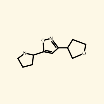 c1c(C2CCOC2)noc1C1CCC[N]1